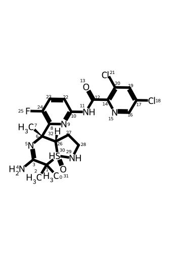 CC1(C)C(N)=N[C@](C)(c2nc(NC(=O)c3ncc(Cl)cc3Cl)ccc2F)[C@@H]2CCN[SH]21=O